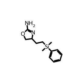 C[Si](C)(CCC1COC(N)=N1)c1ccccc1